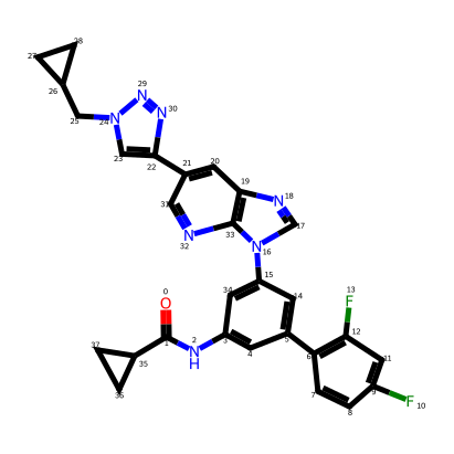 O=C(Nc1cc(-c2ccc(F)cc2F)cc(-n2cnc3cc(-c4cn(CC5CC5)nn4)cnc32)c1)C1CC1